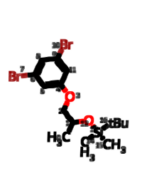 CC(COc1cc(Br)cc(Br)c1)O[Si](C)(C)C(C)(C)C